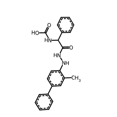 Cc1cc(-c2ccccc2)ccc1NNC(=O)C(NC(=O)O)c1ccccc1